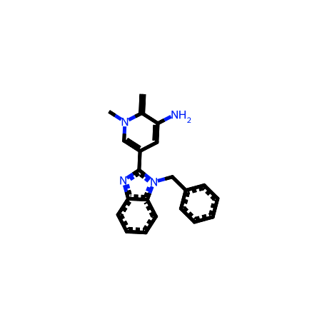 C=C1C(N)=CC(c2nc3ccccc3n2Cc2ccccc2)=CN1C